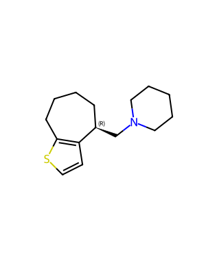 c1cc2c(s1)CCCC[C@H]2CN1CCCCC1